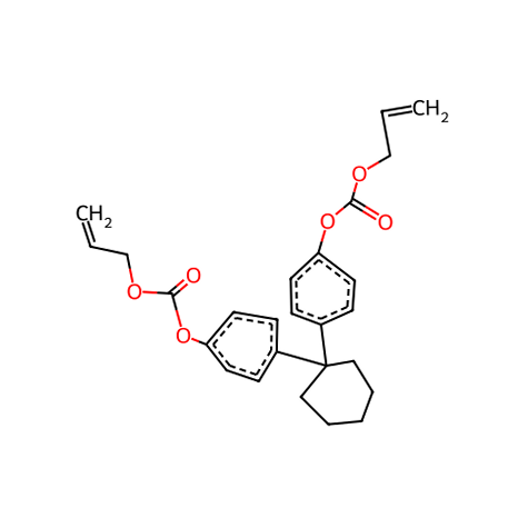 C=CCOC(=O)Oc1ccc(C2(c3ccc(OC(=O)OCC=C)cc3)CCCCC2)cc1